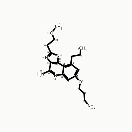 CCCc1cc(OCCCN)cc2nc(N)c3nc(CCOC)[nH]c3c12